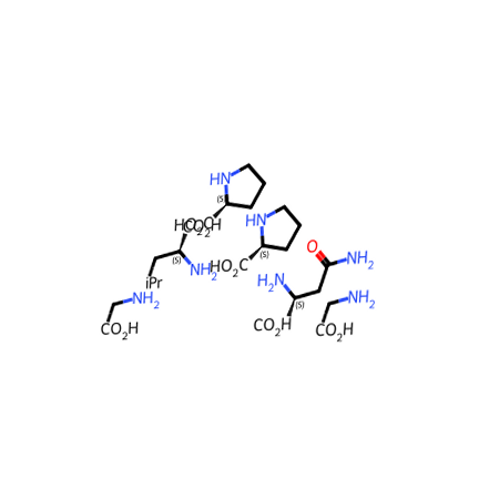 CC(C)C[C@H](N)C(=O)O.NC(=O)C[C@H](N)C(=O)O.NCC(=O)O.NCC(=O)O.O=C(O)[C@@H]1CCCN1.O=C(O)[C@@H]1CCCN1